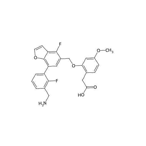 COc1ccc(CC(=O)O)c(OCc2cc(-c3cccc(CN)c3F)c3occc3c2F)c1